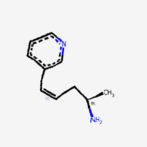 C[C@@H](N)C/C=C\c1cccnc1